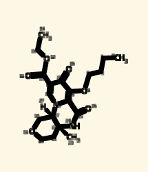 CCCCOc1c2n(cc(C(=O)OCC)c1=O)[C@H]1COCC[C@@]1(C)NC2=O